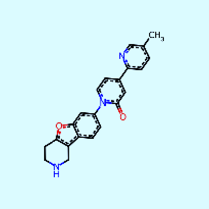 Cc1ccc(-c2ccn(-c3ccc4c5c(oc4c3)CCNC5)c(=O)c2)nc1